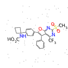 CS(=O)(=O)c1nc(C(F)(F)F)c2c(-c3ccccc3)c(-c3ccc(C4(NC(=O)O)CCC4)cc3)oc2n1